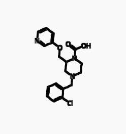 O=C(O)N1CCN(Cc2ccccc2Cl)CC1COc1cccnc1